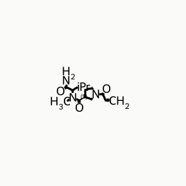 C=CC(=O)N1CC[C@H](C(=O)N(C)C(C(N)=O)C(C)C)C1